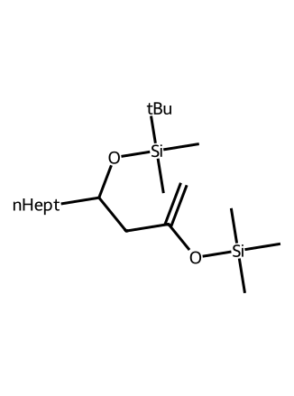 C=C(CC(CCCCCCC)O[Si](C)(C)C(C)(C)C)O[Si](C)(C)C